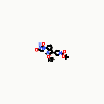 CC[O-].Cn1cc(C2CCN(C(=O)OC(C)(C)C)CC2)c2cccc(N3CCC(=O)NC3=O)c21.[Na+]